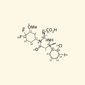 COC1CC(N2C(=O)C[C@@](C)(c3cccc(I)c3Cl)N/C2=N\C(=O)O)CCC1(F)F